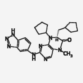 CN1C(=O)[C@@H](CC2CCCC2)N(C2CCCC2)c2nc(Nc3ccc4[nH]nnc4c3)ncc21